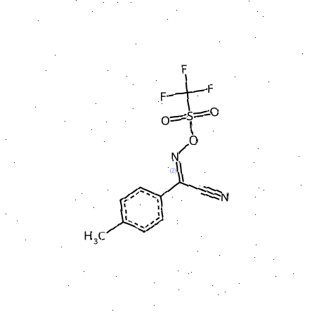 Cc1ccc(/C(C#N)=N/OS(=O)(=O)C(F)(F)F)cc1